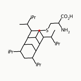 CC(C)C(C)C1CC(C(C)C(C)C)C2C3CC(C(C(C)C)CC3C(C)C)C1C2CSCC(N)C(=O)O